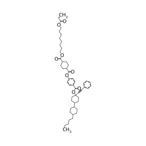 C=CC(=O)OCCCCCCCCOC(=O)C1CCC(C(=O)Oc2ccc(C(=O)OC3(C#Cc4ccccc4)CCC(C4CCC(CCCCC)CC4)CC3)cc2)CC1